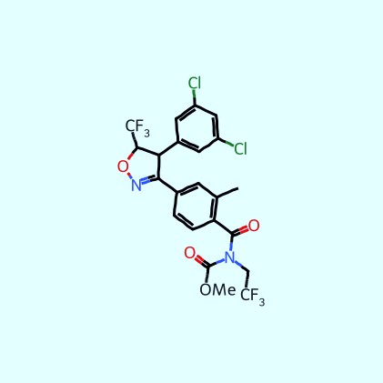 COC(=O)N(CC(F)(F)F)C(=O)c1ccc(C2=NOC(C(F)(F)F)C2c2cc(Cl)cc(Cl)c2)cc1C